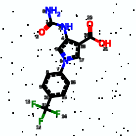 NC(=O)Nc1cn(-c2ccc(C(F)(F)F)cc2)cc1C(=O)O